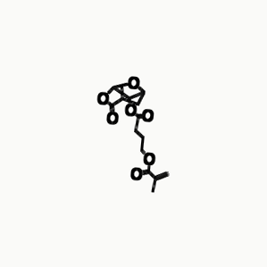 C=C(C)C(=O)OCCCC(=O)OC1C2CC3C(=O)OC1C3O2